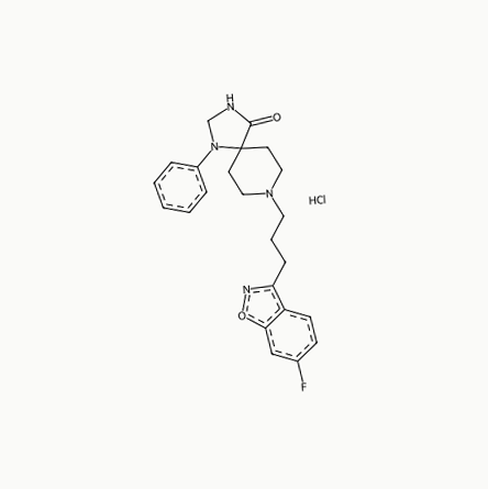 Cl.O=C1NCN(c2ccccc2)C12CCN(CCCc1noc3cc(F)ccc13)CC2